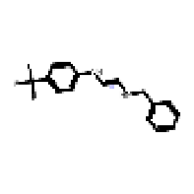 FC(F)(F)c1ccc(N/C=C/NCc2ccccc2)cc1